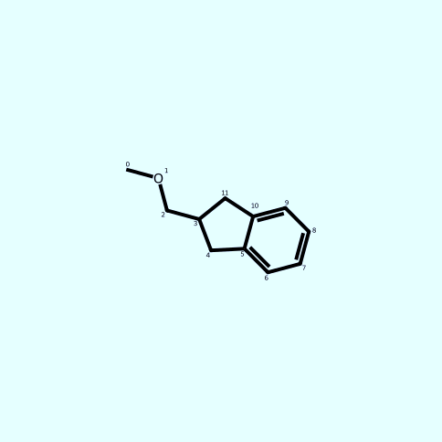 COCC1Cc2ccccc2C1